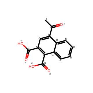 CC(=O)c1cc(C(=O)O)c(C(=O)O)c2ccccc12